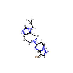 Brc1cnn2ccc(N3CCc4ncn(CC5CC5)c4C3)nc12